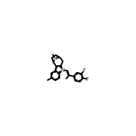 C/C(=C\n1c2c(c3cc(C)ccc31)C1CCC(C2)N1C)c1ccc(F)c(F)c1